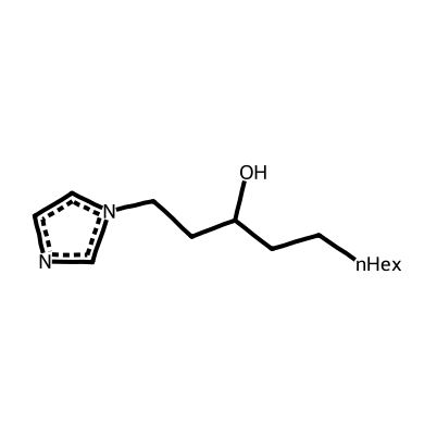 CCCCCCCCC(O)CCn1ccnc1